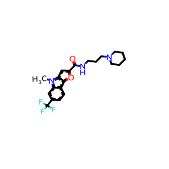 Cn1c2cc(C(F)(F)F)ccc2c2oc(C(=O)NCCCN3CCCCC3)cc21